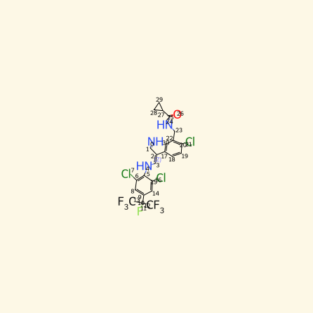 N=C/C(=C\Nc1c(Cl)cc(C(F)(C(F)(F)F)C(F)(F)F)cc1Cl)c1ccc(Cl)c(CNC(=O)C2CC2)c1